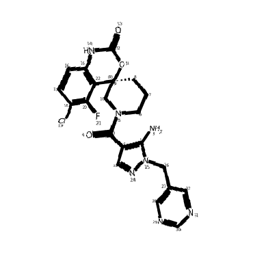 Nc1c(C(=O)N2CCC[C@@]3(C2)OC(=O)Nc2ccc(Cl)c(F)c23)cnn1Cc1cncnc1